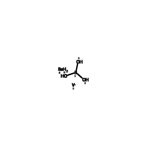 OB(O)O.[BaH2].[V]